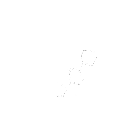 CNS(=O)(=O)c1ccc(C2=CCNCC2)cc1